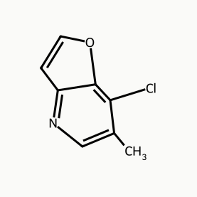 Cc1cnc2ccoc2c1Cl